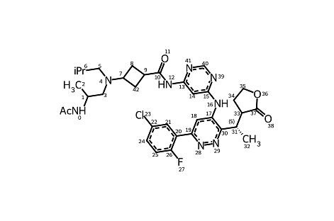 CC(=O)NC(C)CN(CC(C)C)C1CC(C(=O)Nc2cc(Nc3cc(-c4cc(Cl)ccc4F)nnc3[C@@H](C)C3CCOC3=O)ncn2)C1